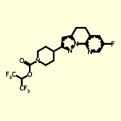 O=C(OC(C(F)(F)F)C(F)(F)F)N1CCC(c2cc3n(n2)-c2ncc(F)cc2CC3)CC1